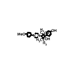 COc1ccc(N2CCN([C@H]3C(C)(C)[C@](O)(c4ccc(O)cc4)C3(C)C)CC2)cc1